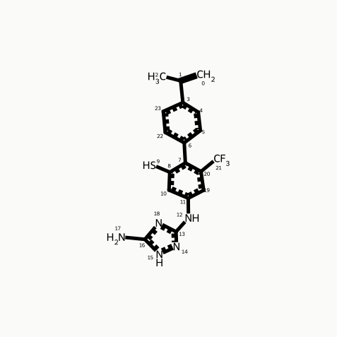 C=C(C)c1ccc(-c2c(S)cc(Nc3n[nH]c(N)n3)cc2C(F)(F)F)cc1